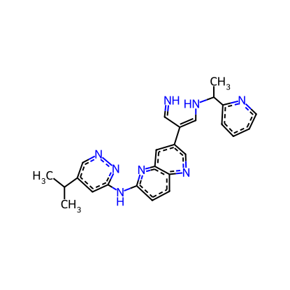 CC(C)c1cnnc(Nc2ccc3ncc(/C(C=N)=C/NC(C)c4ccccn4)cc3n2)c1